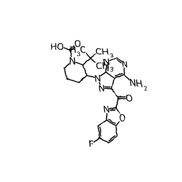 CC(C)(C)C1C(n2nc(C(=O)c3nc4cc(F)ccc4o3)c3c(N)ncnc32)CCCN1C(=O)O